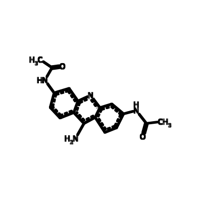 CC(=O)Nc1ccc2c(N)c3ccc(NC(C)=O)cc3nc2c1